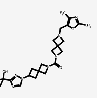 Cc1nc(C(F)(F)F)c(CN2CC3(C2)CN(C(=O)N2CC4(CC(n5cnc(C6(O)CC6)n5)C4)C2)C3)s1